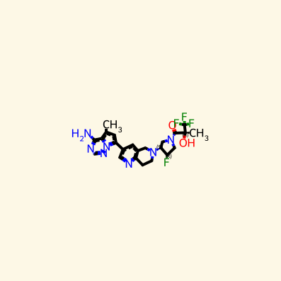 Cc1cc(-c2cnc3c(c2)CN([C@H]2CN(C(=O)[C@@](C)(O)C(F)(F)F)C[C@H]2F)CC3)n2ncnc(N)c12